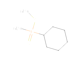 CCCCSP(=S)(CCCC)C1CCCCC1